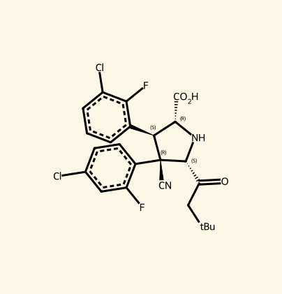 CC(C)(C)CC(=O)[C@H]1N[C@@H](C(=O)O)[C@H](c2cccc(Cl)c2F)[C@@]1(C#N)c1ccc(Cl)cc1F